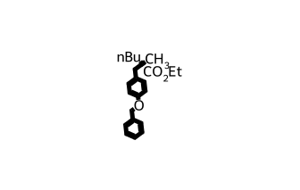 CCCCC(C)(Cc1ccc(OCc2ccccc2)cc1)C(=O)OCC